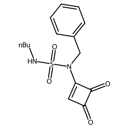 CCCCNS(=O)(=O)N(Cc1ccccc1)c1cc(=O)c1=O